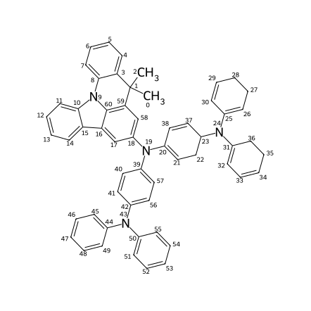 CC1(C)c2ccccc2-n2c3ccccc3c3cc(N(C4=CCC(N(C5=CCCC=C5)C5=CC=CCC5)C=C4)c4ccc(N(c5ccccc5)c5ccccc5)cc4)cc1c32